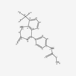 CCC(=O)Nc1ccc(C2=NC(=S)CNc3c2cccc3C(F)(F)F)cc1